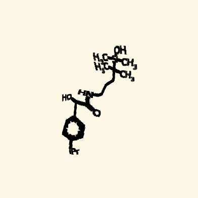 CC(C)c1ccc(C(O)C(=O)NCCCC(C)(C)[Si](C)(C)O)cc1